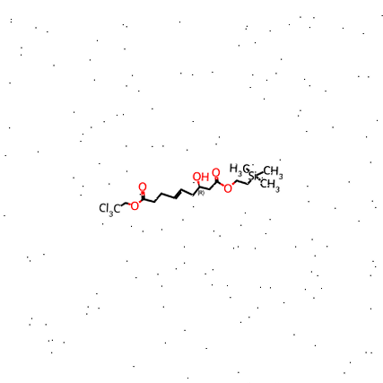 C[Si](C)(C)CCOC(=O)C[C@H](O)CC=CCCC(=O)OCC(Cl)(Cl)Cl